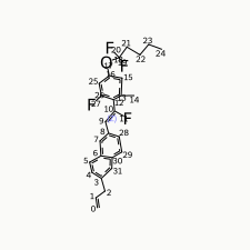 C=CCc1ccc2cc(/C=C(\F)c3c(C)cc(OC(F)(F)CCCC)cc3F)ccc2c1